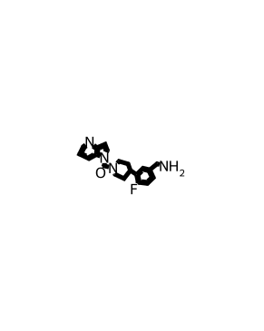 NCc1ccc(F)c(C2CCN(C(=O)n3ccc4ncccc43)CC2)c1